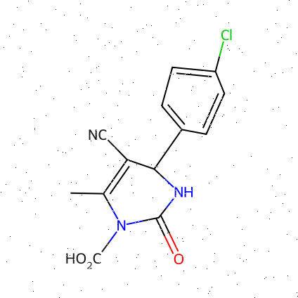 CC1=C(C#N)C(c2ccc(Cl)cc2)NC(=O)N1C(=O)O